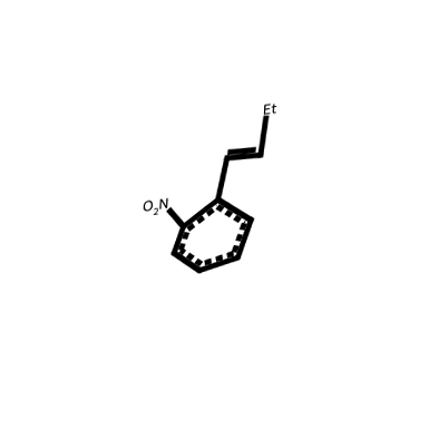 CCC=Cc1ccccc1[N+](=O)[O-]